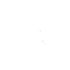 C1CC1.CCC(C)(CC)OC=O